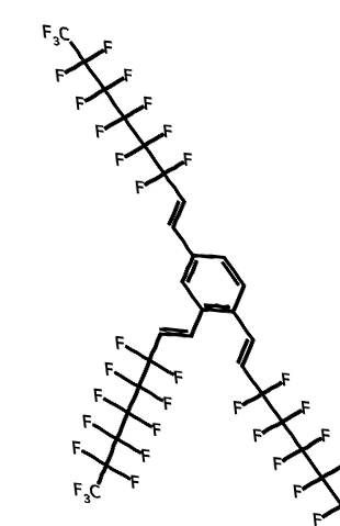 FC(F)(F)C(F)(F)C(F)(F)C(F)(F)C(F)(F)C(F)(F)/C=C/c1ccc(/C=C/C(F)(F)C(F)(F)C(F)(F)C(F)(F)C(F)(F)C(F)(F)F)c(/C=C/C(F)(F)C(F)(F)C(F)(F)C(F)(F)C(F)(F)C(F)(F)F)c1